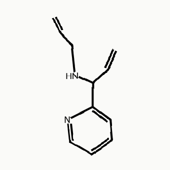 C=CCNC(C=C)c1ccccn1